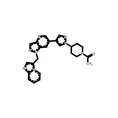 CC(=O)N1CCC(n2cc(-c3cnc4cnn(Cc5cnc6ccccn56)c4c3)cn2)CC1